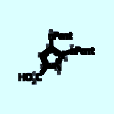 CCCCCc1cc(C(=O)O)nn1CCCCC